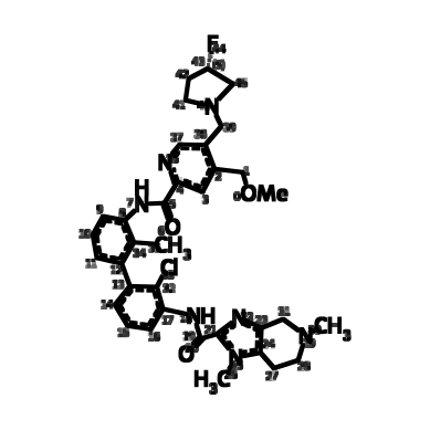 COCc1cc(C(=O)Nc2cccc(-c3cccc(NC(=O)c4nc5c(n4C)CCN(C)C5)c3Cl)c2C)ncc1CN1CC[C@H](F)C1